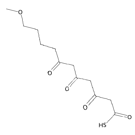 COCCCCC(=O)CC(=O)CC(=O)CC(=O)S